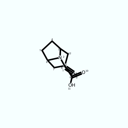 N#CN1C2CCC1CN(C(=O)O)C2